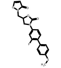 CSc1ccc(-c2ccc(N3CC(Cn4occc4=O)OC3=O)cc2F)cc1